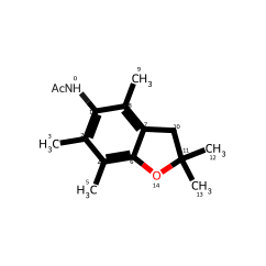 CC(=O)Nc1c(C)c(C)c2c(c1C)CC(C)(C)O2